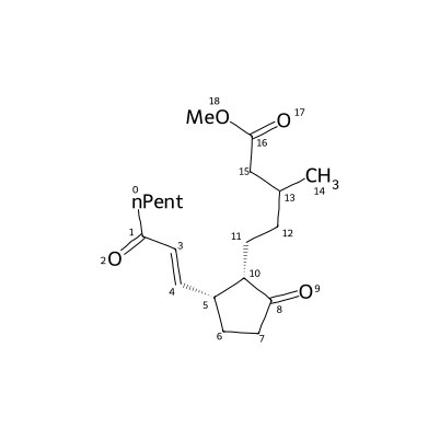 CCCCCC(=O)/C=C/[C@H]1CCC(=O)[C@H]1CCC(C)CC(=O)OC